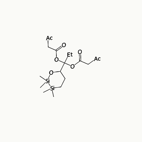 CCC(OC(=O)CC(C)=O)(OC(=O)CC(C)=O)C1CC[Si](C)(C)[Si](C)(C)O1